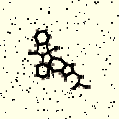 O=C(O)Nc1nc2cc(C3(O)c4ccccc4C(=O)N3c3cccnc3)ccc2[nH]1